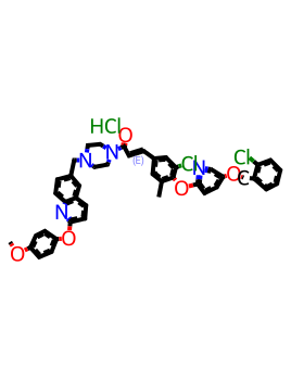 COc1ccc(Oc2ccc3cc(CN4CCN(C(=O)/C=C/c5cc(C)c(Oc6ccc(OCc7ccccc7Cl)cn6)c(Cl)c5)CC4)ccc3n2)cc1.Cl